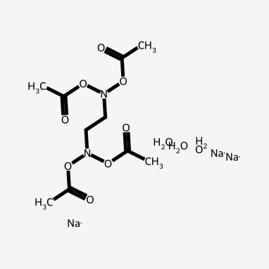 CC(=O)ON(CCN(OC(C)=O)OC(C)=O)OC(C)=O.O.O.O.[Na].[Na].[Na]